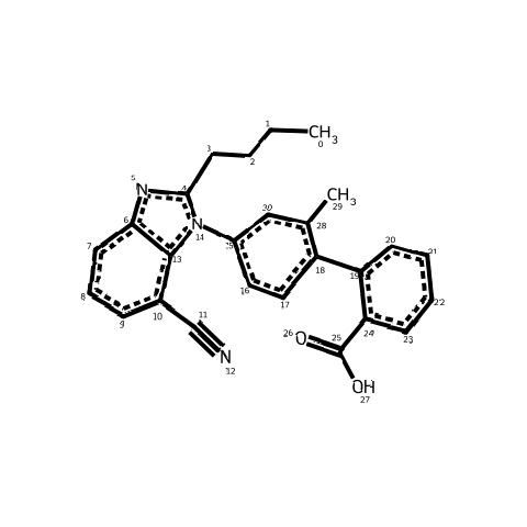 CCCCc1nc2cccc(C#N)c2n1-c1ccc(-c2ccccc2C(=O)O)c(C)c1